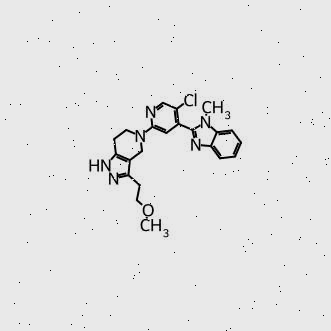 COCCc1n[nH]c2c1CN(c1cc(-c3nc4ccccc4n3C)c(Cl)cn1)CC2